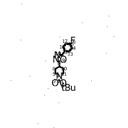 CC(C)(C)OC(=O)N1CCC(c2nnc(-c3ccc(F)cc3)o2)CC1